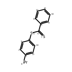 CC(C)c1ccc(SC(=S)c2ccccc2)cc1